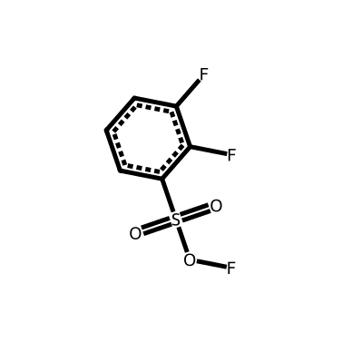 O=S(=O)(OF)c1cccc(F)c1F